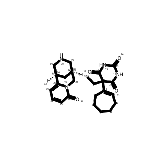 CCC1(C2=CCCCCC2)C(=O)NC(=O)NC1=O.O=c1cccc2n1C[C@@H]1CNC[C@H]2C1